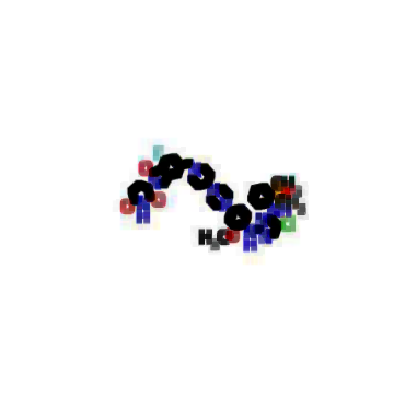 COc1cc(N2CCN(C3CCN(Cc4cc(F)c5c(c4)CN(C4CCC(=O)NC4=O)C5=O)CC3)CC2)ccc1Nc1ncc(Cl)c(Nc2ccccc2P(C)(C)=O)n1